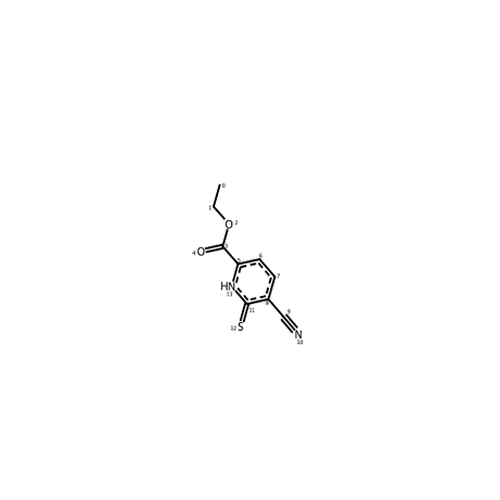 CCOC(=O)c1ccc(C#N)c(=S)[nH]1